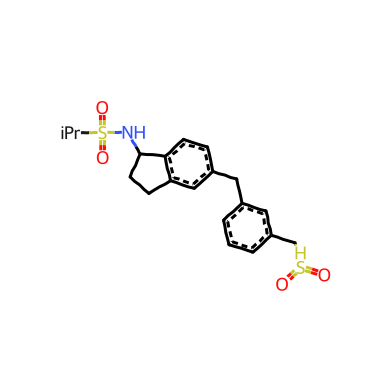 CC(C)S(=O)(=O)NC1CCc2cc(Cc3cccc(C[SH](=O)=O)c3)ccc21